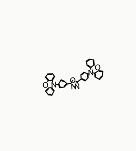 c1ccc2c(c1)Oc1ccccc1N2c1ccc(-c2nnc(-c3ccc(N4c5ccccc5Oc5ccccc54)cc3)o2)cc1